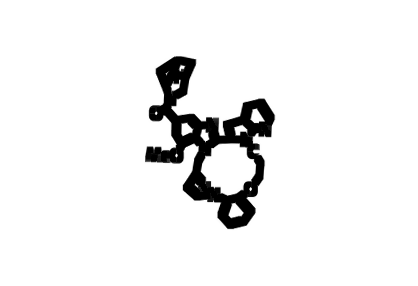 COc1cc(C(=O)N2CC3CC4CC2[C@H]43)cc2nc3n(c12)Cc1ccn(n1)-c1ccccc1OCCCn1c-3cc2cccnc21